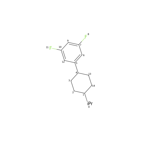 CC(C)C1CCC(c2cc(F)cc(F)c2)CC1